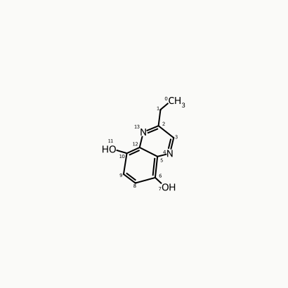 CCc1cnc2c(O)ccc(O)c2n1